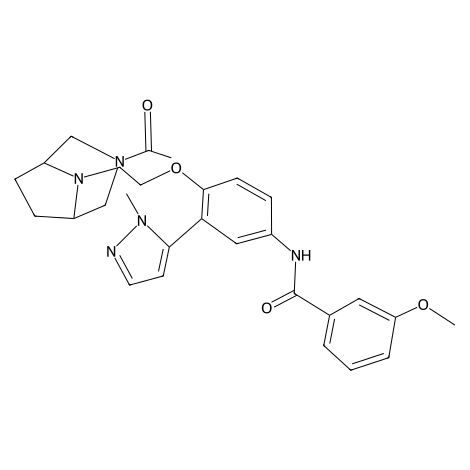 COc1cccc(C(=O)Nc2ccc(OCCN3C4CCC3CN(C(C)=O)C4)c(-c3ccnn3C)c2)c1